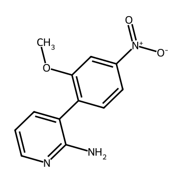 COc1cc([N+](=O)[O-])ccc1-c1cccnc1N